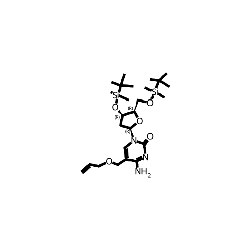 C=CCOCc1cn([C@H]2C[C@@H](O[Si](C)(C)C(C)(C)C)[C@@H](CO[Si](C)(C)C(C)(C)C)O2)c(=O)nc1N